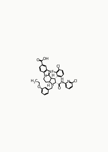 CCOc1cccc(CN2[C@H]3CCn4c(nc5cc(C(=O)O)ccc54)[C@H]3[C@H](c3cccc(Cl)c3F)[C@@H]2C(=O)Nc2cccc(Cl)n2)c1